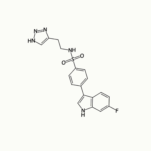 O=S(=O)(NCCc1c[nH]nn1)c1ccc(-c2c[nH]c3cc(F)ccc23)cc1